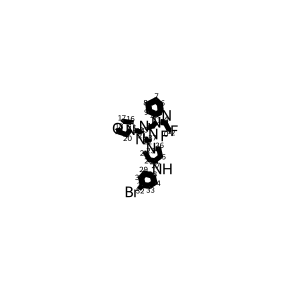 FC(F)c1nc2ccccc2n1-c1nc(N2CCOCC2)nc(N2CCC(Nc3ccc(Br)cc3)CC2)n1